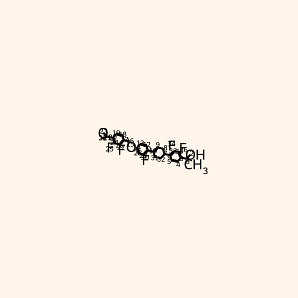 CC(O)c1ccc(C2CC=C(c3ccc(OCc4ccc(C5CO5)c(F)c4F)cc3F)CC2)c(F)c1F